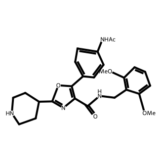 COc1cccc(OC)c1CNC(=O)c1nc(C2CCNCC2)oc1-c1ccc(NC(C)=O)cc1